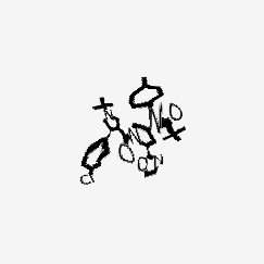 CC1CCC(N(C(=O)C(C)(C)C)[C@H]2C[C@@H](C3=NCCO3)N(C(=O)C3CN(C(C)(C)C)C[C@@H]3c3ccc(Cl)cc3)C2)CC1